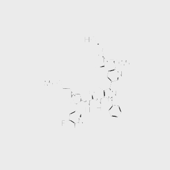 COCCN1C[C@@H](NC(=O)Nc2c(C)c(-c3cnc(OC)c(C(=O)NOCC(C)(C)O)c3)nn2-c2ccccc2)[C@H](c2cnc(F)c(F)c2)O1